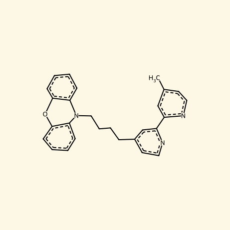 Cc1ccnc(-c2cc(CCCCN3c4ccccc4Oc4ccccc43)ccn2)c1